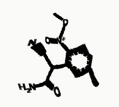 CO[N+](=O)c1ccc(C)cc1C(C#N)C(N)=O